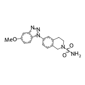 COc1ccc2c(c1)nnn2-c1ccc2c(c1)CCN(S(N)(=O)=O)C2